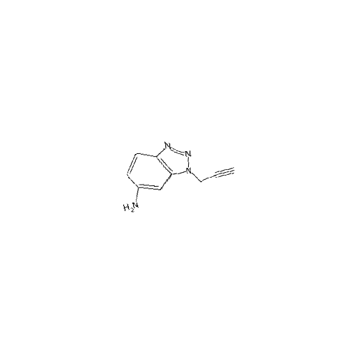 C#CCn1nnc2ccc(N)cc21